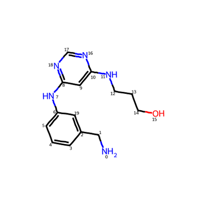 NCc1cccc(Nc2cc(NCCCO)ncn2)c1